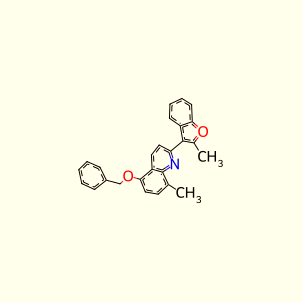 Cc1oc2ccccc2c1-c1ccc2c(OCc3ccccc3)ccc(C)c2n1